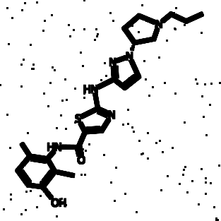 CCCN1CC[C@@H](n2ccc(Nc3ncc(C(=O)Nc4c(C)ccc(O)c4C)s3)n2)C1